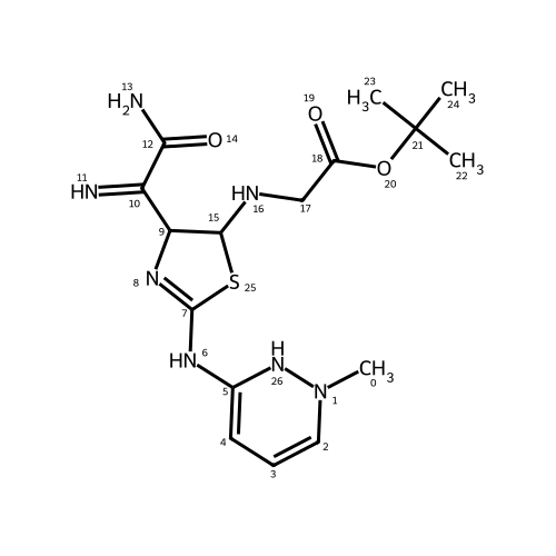 CN1C=CC=C(NC2=NC(C(=N)C(N)=O)C(NCC(=O)OC(C)(C)C)S2)N1